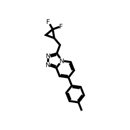 Cc1ccc(-c2ccn3c(CC4CC4(F)F)nnc3c2)cc1